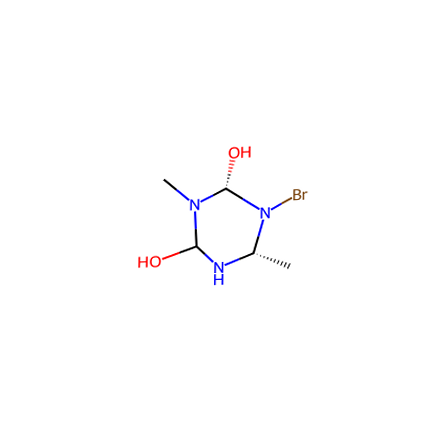 C[C@@H]1NC(O)N(C)[C@H](O)N1Br